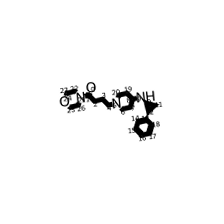 O=C(CCCN1CCC(N[C@@H]2C[C@@H]2c2ccccc2)CC1)N1CCOCC1